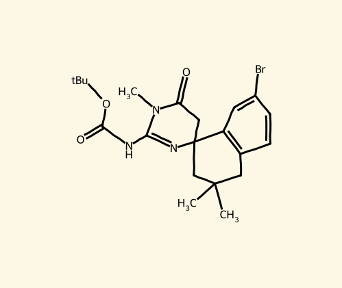 CN1C(=O)CC2(CC(C)(C)Cc3ccc(Br)cc32)N=C1NC(=O)OC(C)(C)C